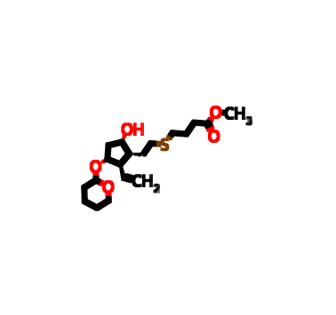 C=C[C@@H]1[C@@H](CCSCCCC(=O)OC)[C@@H](O)C[C@H]1OC1CCCCO1